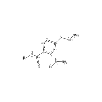 CCNN.CNNCc1ccc(C(=O)NC(C)C)cc1